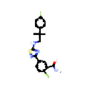 CC(C)(CNc1nc(-c2ccc(F)c(C(N)=O)c2)ns1)c1ccc(F)cc1